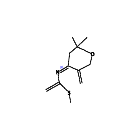 C=C(/N=C1/CC(C)(C)OCC1=C)SC